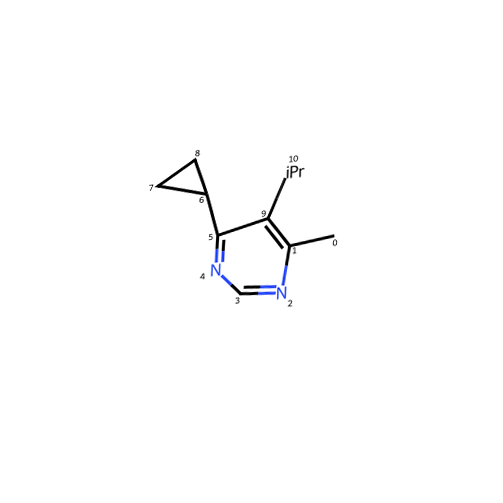 Cc1ncnc(C2CC2)c1C(C)C